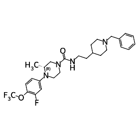 C[C@@H]1CN(C(=O)NCCC2CCN(Cc3ccccc3)CC2)CCN1c1ccc(OC(F)(F)F)c(F)c1